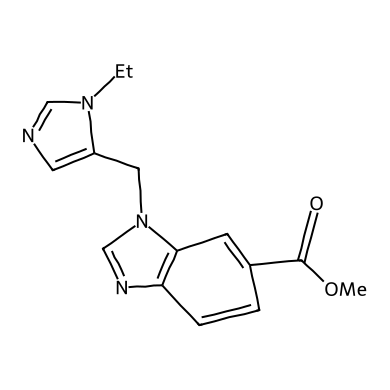 CCn1cncc1Cn1cnc2ccc(C(=O)OC)cc21